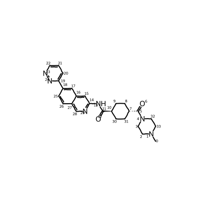 CN1CCN(C(=O)[C@H]2CC[C@H](C(=O)Nc3cc4cc(-c5cccnn5)ccc4cn3)CC2)CC1